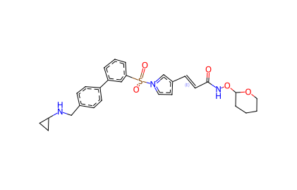 O=C(/C=C/c1ccn(S(=O)(=O)c2cccc(-c3ccc(CNC4CC4)cc3)c2)c1)NOC1CCCCO1